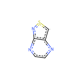 [c]1snc2nccnc12